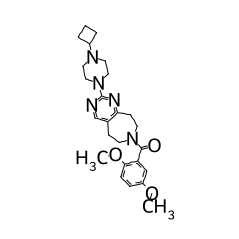 COc1ccc(OC)c(C(=O)N2CCc3cnc(N4CCN(C5CCC5)CC4)nc3CC2)c1